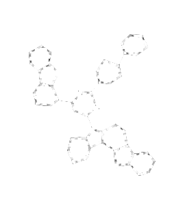 c1ccc(-c2ccc(-c3nc(-c4cccc5c4sc4ccccc45)cc(-n4c5ccccc5c5c6sc7ccccc7c6ccc54)n3)cc2)cc1